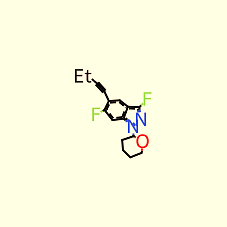 CCC#Cc1cc2c(F)nn(C3CCCCO3)c2cc1F